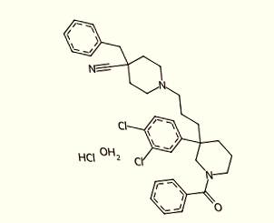 Cl.N#CC1(Cc2ccccc2)CCN(CCCC2(c3ccc(Cl)c(Cl)c3)CCCN(C(=O)c3ccccc3)C2)CC1.O